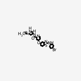 COC[C@H]1CC(NC(=O)c2cc(Oc3ccc4sc(Nc5ccc(Br)cc5)nc4c3)ccn2)CN1